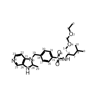 CCOCOC[C@H](CC(C)C)NS(=O)(=O)c1ccc(CN2c3ccncc3NC2C)cc1